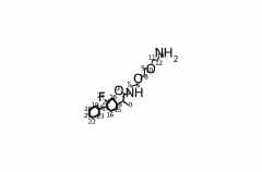 CC(C(=O)NCCOCCOCCN)c1ccc(-c2ccccc2)c(F)c1